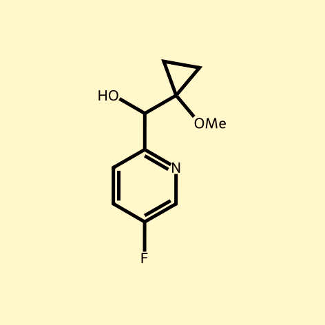 COC1(C(O)c2ccc(F)cn2)CC1